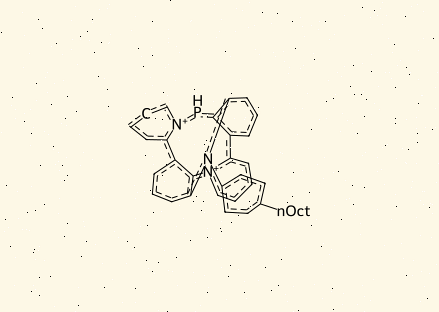 CCCCCCCCc1ccc(-n2c3cccc4c3[pH][n+]3ccccc3c3cccc2c3[n+]2ccccc42)cc1